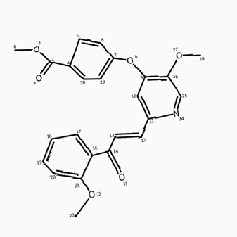 COC(=O)c1ccc(Oc2cc(C=CC(=O)c3ccccc3OC)ncc2OC)cc1